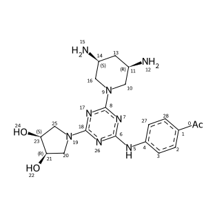 CC(=O)c1ccc(Nc2nc(N3C[C@H](N)C[C@H](N)C3)nc(N3C[C@@H](O)[C@@H](O)C3)n2)cc1